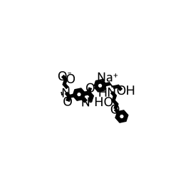 CN(CCC(=O)[O-])C(=O)c1ccc2c(Oc3ccc(C[C@@H](CO)NC[C@H](O)COc4ccccc4)cc3)ccnc2c1.[Na+]